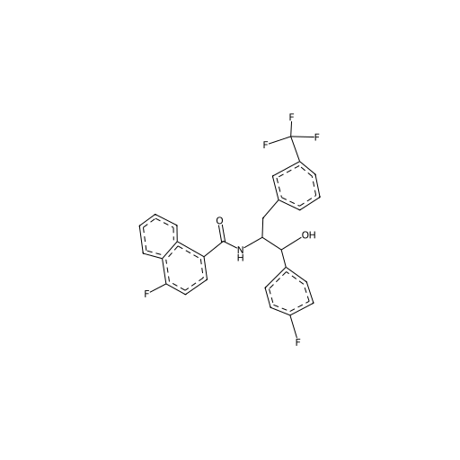 O=C(NC(Cc1cccc(C(F)(F)F)c1)C(O)c1ccc(F)cc1)c1ccc(F)c2ccccc12